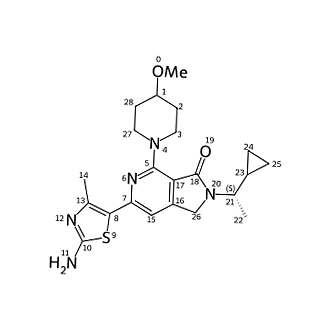 COC1CCN(c2nc(-c3sc(N)nc3C)cc3c2C(=O)N([C@@H](C)C2CC2)C3)CC1